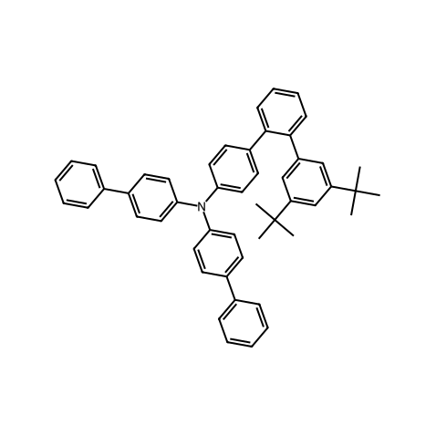 CC(C)(C)c1cc(-c2ccccc2-c2ccc(N(c3ccc(-c4ccccc4)cc3)c3ccc(-c4ccccc4)cc3)cc2)cc(C(C)(C)C)c1